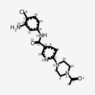 CC(=O)N1CCN(c2ccc(C(=O)Nc3ccc(Cl)c(N)c3)cn2)CC1